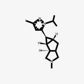 CC(C)n1nc(I)cc1[C@H]1[C@@H]2CC3CN(C)C[C@H]3[C@@H]21